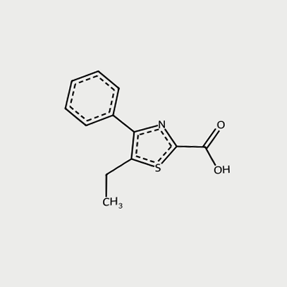 CCc1sc(C(=O)O)nc1-c1ccccc1